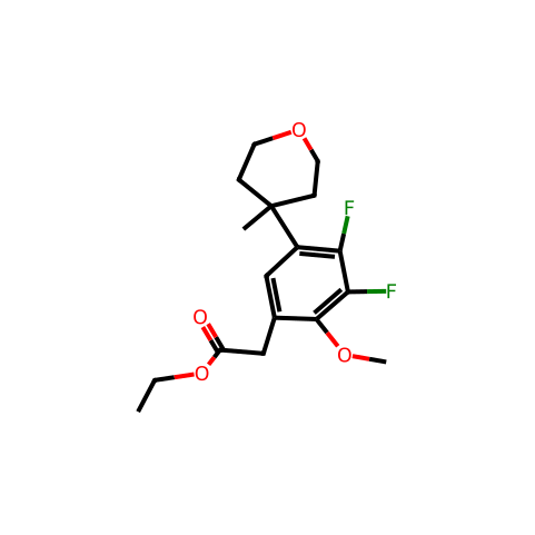 CCOC(=O)Cc1cc(C2(C)CCOCC2)c(F)c(F)c1OC